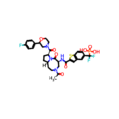 CC(=O)N1CC[C@H]2CC[C@@H](C(=O)N3CCOC(c4ccc(F)cc4)C3)N2C(=O)[C@@H](NC(=O)c2cc3cc(C(F)(F)P(=O)(O)O)ccc3s2)C1